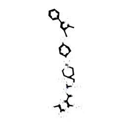 Cc1oc(-c2ccccc2)cc1COc1ccc(S(=O)(=O)N2CCC3(CC2)CN/C(=N\C(=O)c2nc(Cl)c(N)nc2N)N3)cc1